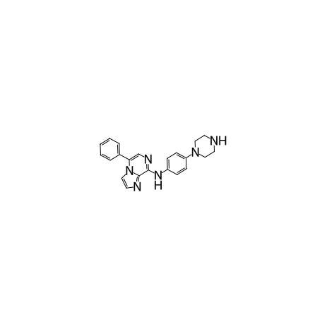 c1ccc(-c2cnc(Nc3ccc(N4CCNCC4)cc3)c3nccn23)cc1